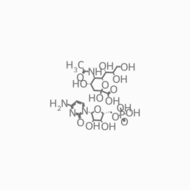 CC(=O)N[C@H]1[C@H]([C@H](O)[C@H](O)CO)OC(O)(C(=O)O)C[C@@H]1O.Nc1ccn([C@@H]2O[C@H](COP(=O)(O)O)[C@@H](O)[C@H]2O)c(=O)n1